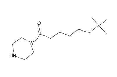 CC(C)(C)CCCCCC(=O)N1CCNCC1